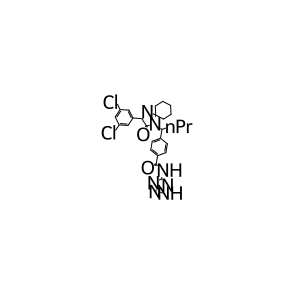 CCCC(c1ccc(C(=O)Nc2nn[nH]n2)cc1)N1C(=O)C(c2cc(Cl)cc(Cl)c2)=NC12CCCCC2